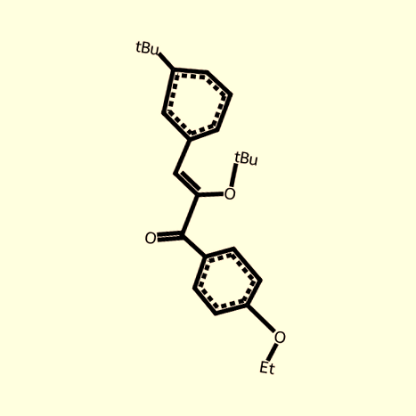 CCOc1ccc(C(=O)C(=Cc2cccc(C(C)(C)C)c2)OC(C)(C)C)cc1